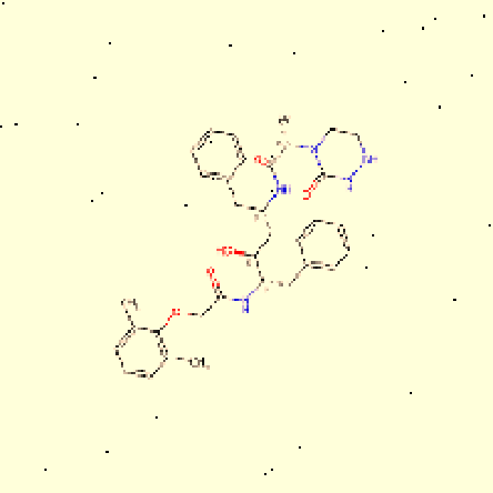 Cc1cccc(C)c1OCC(=O)N[C@@H](Cc1ccccc1)[C@@H](O)C[C@H](Cc1ccccc1)NC(=O)[C@H](C(C)C)N1CCNNC1=O